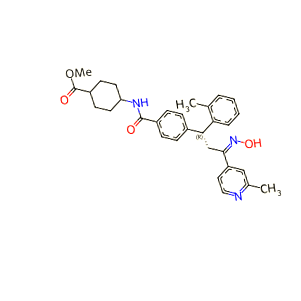 COC(=O)C1CCC(NC(=O)c2ccc([C@@H](CC(=NO)c3ccnc(C)c3)c3ccccc3C)cc2)CC1